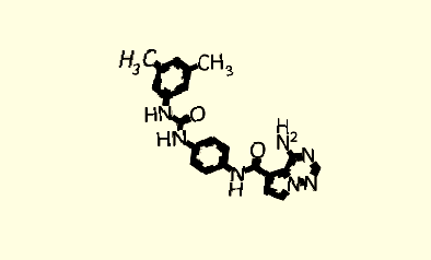 Cc1cc(C)cc(NC(=O)Nc2ccc(NC(=O)c3ccn4ncnc(N)c34)cc2)c1